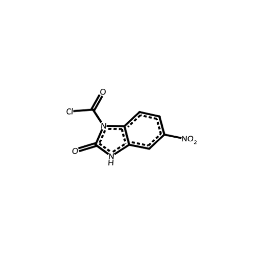 O=C(Cl)n1c(=O)[nH]c2cc([N+](=O)[O-])ccc21